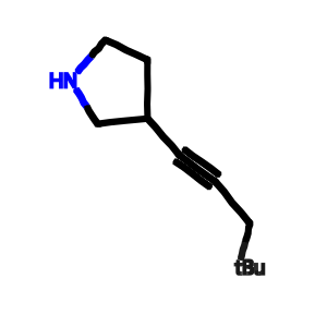 CC(C)(C)CC#CC1CCNC1